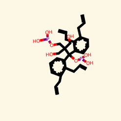 C=CCc1cccc(C(OP(O)O)(c2cccc(CC=C)c2CC=C)C(CO)(CO)COP(O)O)c1CC=C